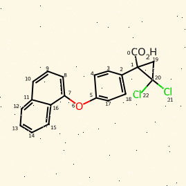 O=C(O)C1(c2ccc(Oc3cccc4ccccc34)cc2)CC1(Cl)Cl